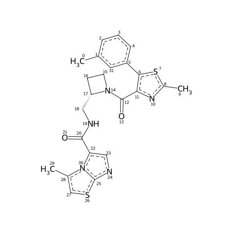 Cc1cccc(-c2sc(C)nc2C(=O)N2CC[C@H]2CNC(=O)c2cnc3scc(C)n23)c1